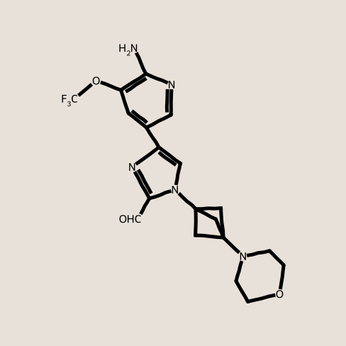 Nc1ncc(-c2cn(C34CC(N5CCOCC5)(C3)C4)c(C=O)n2)cc1OC(F)(F)F